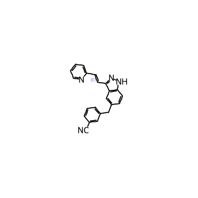 N#Cc1cccc(Cc2ccc3[nH]nc(/C=C/c4ccccn4)c3c2)c1